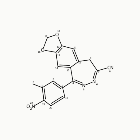 Cc1cc(C2=NN=C(C#N)Cc3cc4c(cc32)OCO4)ccc1[N+](=O)[O-]